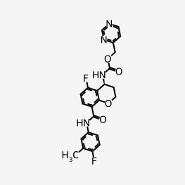 Cc1cc(NC(=O)c2ccc(F)c3c2OCC[C@@H]3NC(=O)OCc2ccncn2)ccc1F